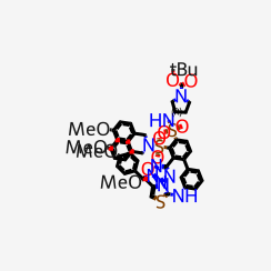 COC(=O)c1csc(Nc2cccc(-c3ccc(S(=O)(=O)N[C@@H]4CCN(C(=O)OC(C)(C)C)C4)c(S(=O)(=O)N(Cc4ccc(OC)cc4)Cc4ccc(OC)cc4)c3-c3nnn(Cc4ccc(OC)cc4)n3)c2)n1